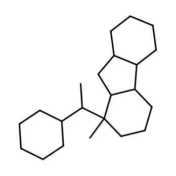 CC(C1CCCCC1)C1(C)CCCC2C3CCCCC3CC21